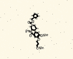 COCCCOc1cc(C(=O)N(C(C)C)[C@H]2CCCN(C(=O)OCc3ccccc3)C2)ccc1OC